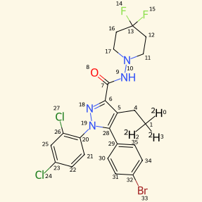 [2H]C([2H])([2H])Cc1c(C(=O)NN2CCC(F)(F)CC2)nn(-c2ccc(Cl)cc2Cl)c1-c1ccc(Br)cc1